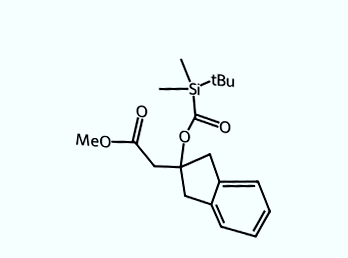 COC(=O)CC1(OC(=O)[Si](C)(C)C(C)(C)C)Cc2ccccc2C1